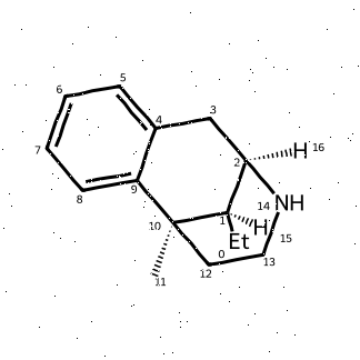 CC[C@@H]1[C@H]2Cc3ccccc3[C@]1(C)CCN2